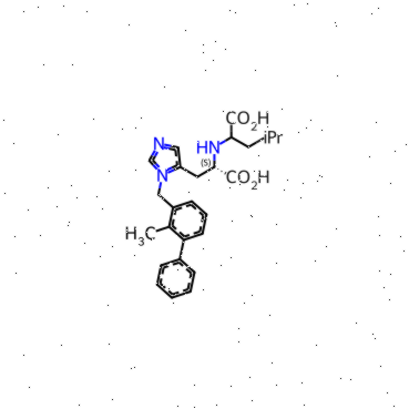 Cc1c(Cn2cncc2C[C@H](NC(CC(C)C)C(=O)O)C(=O)O)cccc1-c1ccccc1